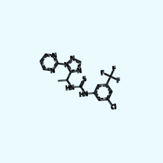 CC(NC(=S)Nc1cc(Cl)cc(C(F)(F)F)c1)c1ncnn1-c1ncccn1